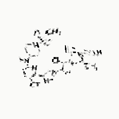 CC(c1ccc(-n2cnc(-c3nc(NC4CCN(S(C)(=O)=O)CC4)ncc3C(F)(F)F)c2)c(Cl)c1)N(C)C(=O)O